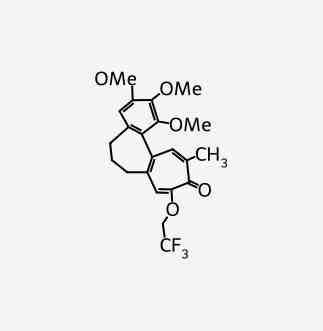 COc1cc2c(c(OC)c1OC)-c1cc(C)c(=O)c(OCC(F)(F)F)cc1CCC2